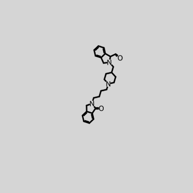 O=CC1c2ccccc2CN1CC1CCN(CCCCN2Cc3ccccc3C2=O)CC1